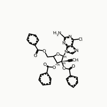 C#C[C@@]1(OC(=O)c2ccccc2)[C@H](OC(=O)c2ccccc2)C(COC(=O)c2ccccc2)O[C@H]1n1cnc2c(Cl)nc(N)nc21